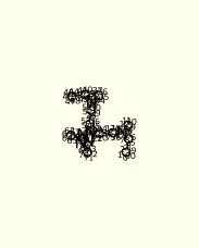 c1ccc(-c2ccc3c4ccccc4n(-c4ccc(-c5ccc6c(c5)c5cc(-c7ccc(-n8c9ccccc9c9ccc(-c%10ccccc%10)cc98)cc7)ccc5n6-c5nc(-c6ccccc6)nc(-c6ccccc6)n5)cc4)c3c2)cc1